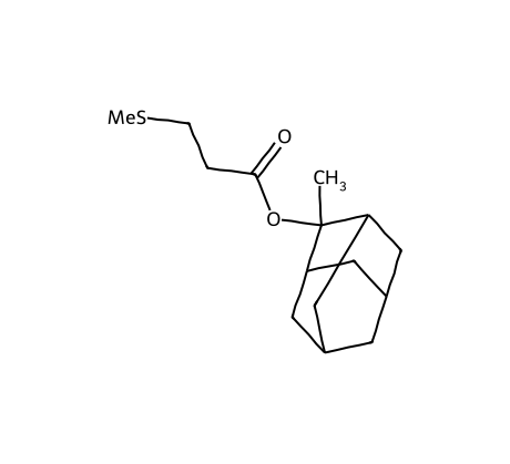 CSCCC(=O)OC1(C)C2CC3CC(C2)CC1C3